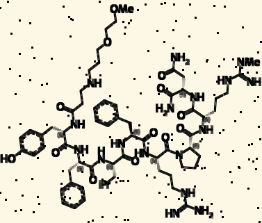 CNC(=N)NCCC[C@H](NC(=O)[C@@H]1CCCN1C(=O)[C@H](CCCNC(=N)N)NC(=O)[C@H](Cc1ccccc1)NC(=O)[C@H](CC(C)C)NC(=O)[C@H](Cc1ccccc1)NC(=O)[C@H](Cc1ccc(O)cc1)NC(=O)CCNCCCOCCOC)C(=O)N[C@@H](CC(N)=O)C(N)=O